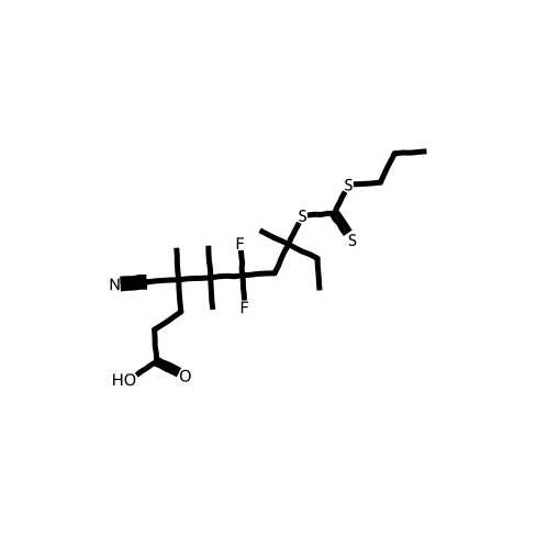 CCCSC(=S)SC(C)(CC)CC(F)(F)C(C)(C)C(C)(C#N)CCC(=O)O